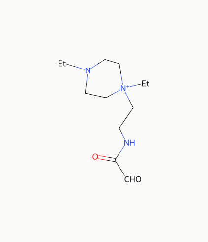 CCN1CC[N+](CC)(CCNC(=O)C=O)CC1